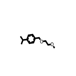 COCCOCc1ccc(C(C)C)cc1